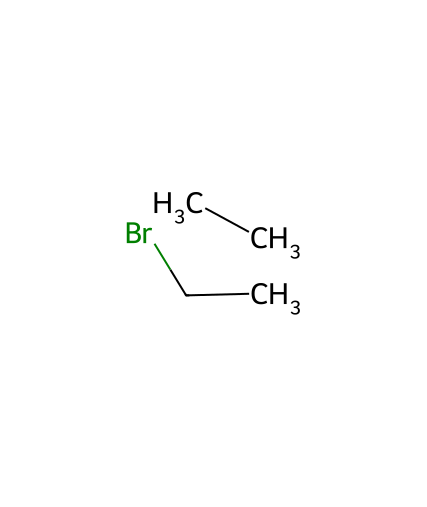 CC.CCBr